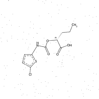 CCC[C@@H](OC(=O)Nc1ccc(Cl)s1)C(=O)O